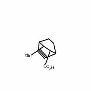 CC(C)(C)C1C2C#CC(CC2)C1C(=O)O